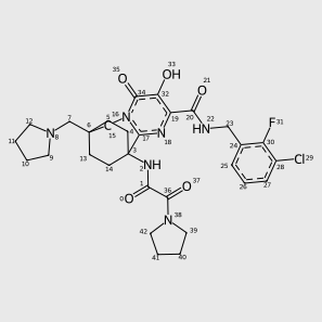 O=C(NC12CCC(CN3CCCC3)(CC1)Cn1c2nc(C(=O)NCc2cccc(Cl)c2F)c(O)c1=O)C(=O)N1CCCC1